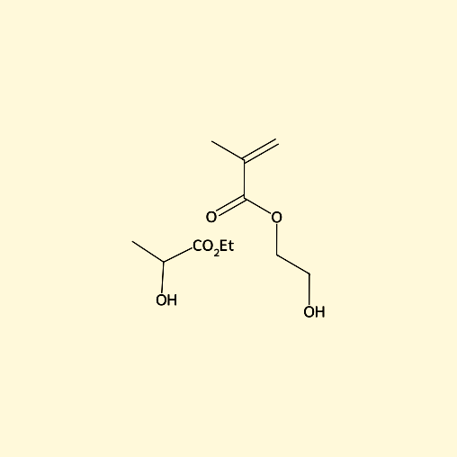 C=C(C)C(=O)OCCO.CCOC(=O)C(C)O